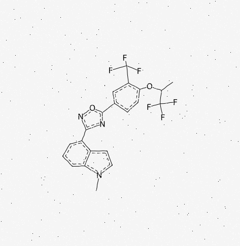 CC(Oc1ccc(-c2nc(-c3cccc4c3ccn4C)no2)cc1C(F)(F)F)C(F)(F)F